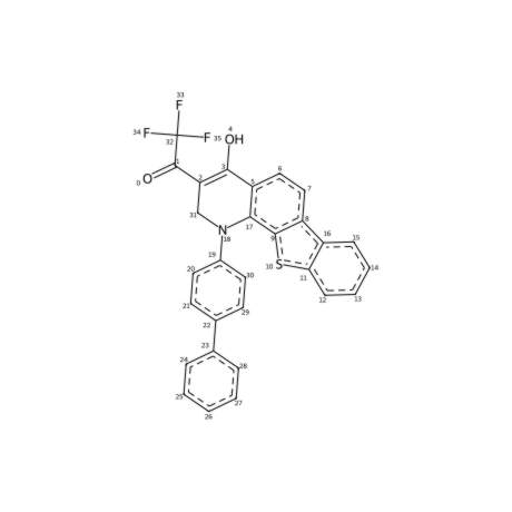 O=C(C1=C(O)c2ccc3c(sc4ccccc43)c2N(c2ccc(-c3ccccc3)cc2)C1)C(F)(F)F